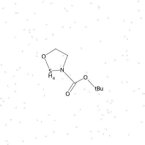 CC(C)(C)OC(=O)N1CCO[SH4]1